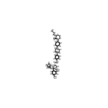 CCCCN1CCCN(c2ccc(N3CCN(c4ccc(OC[C@@H]5CO[C@@](Cn6cncn6)(c6ccc(Cl)cc6Cl)O5)cc4)CC3)cc2)C1=S